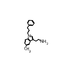 Cc1ccc2c(c1)c(CCN)cn2CCCc1ccccc1